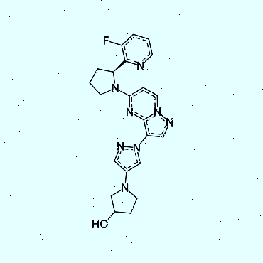 OC1CCN(c2cnn(-c3cnn4ccc(N5CCC[C@H]5c5ncccc5F)nc34)c2)C1